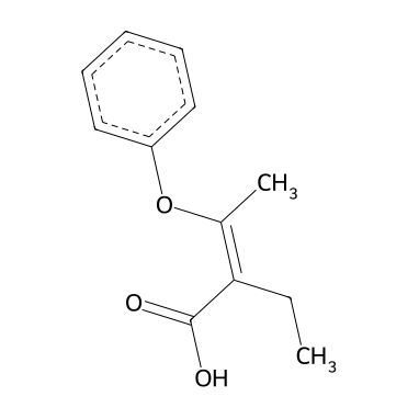 CCC(C(=O)O)=C(C)Oc1ccccc1